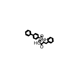 O=C(O)C(Cc1ccccc1)NS(=O)(=O)c1ccc(-c2ccccc2)cc1